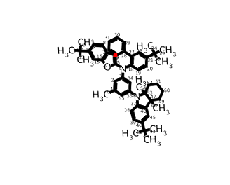 Cc1cc(N(c2cc3ccc(C(C)(C)C)cc3o2)c2ccc(C(C)(C)C)cc2-c2ccccc2)cc(N2c3ccc(C(C)(C)C)cc3C3(C)CCCCC23C)c1